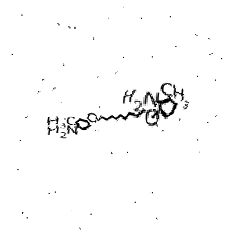 Cc1cc(OCCCCCCCCCCOc2cccc(C)c2N)ccc1N